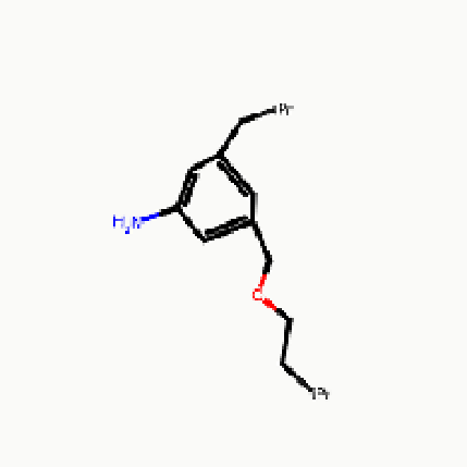 CC(C)CCOCc1cc(N)cc(CC(C)C)c1